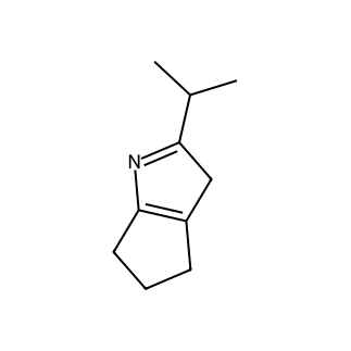 CC(C)C1=NC2=C(CCC2)C1